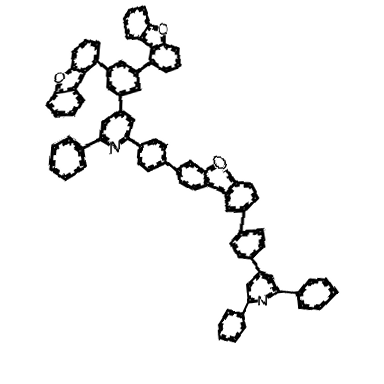 c1ccc(-c2cc(-c3ccc(-c4ccc5oc6cc(-c7ccc(-c8cc(-c9cc(-c%10cccc%11oc%12ccccc%12c%10%11)cc(-c%10cccc%11oc%12ccccc%12c%10%11)c9)cc(-c9ccccc9)n8)cc7)ccc6c5c4)cc3)cc(-c3ccccc3)n2)cc1